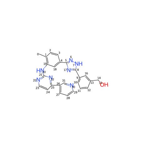 Cc1ccc(-c2n[nH]c(-c3cccc(CO)c3)n2)cc1Nc1nccc(-c2cccnc2)n1